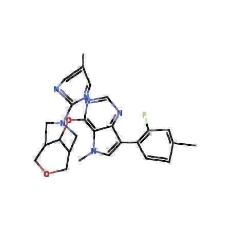 Cc1cnc(N2CC3COCC(C2)C3Oc2ncnc3c(-c4ccc(C)cc4F)cn(C)c23)nc1